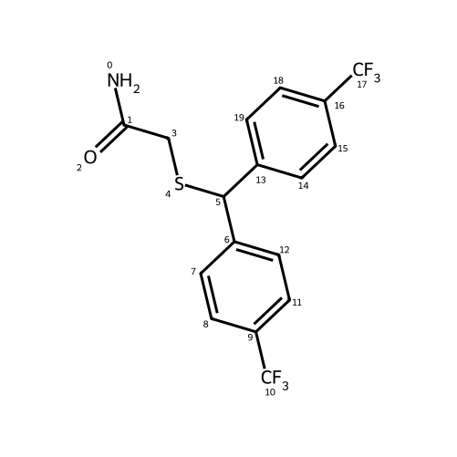 NC(=O)CSC(c1ccc(C(F)(F)F)cc1)c1ccc(C(F)(F)F)cc1